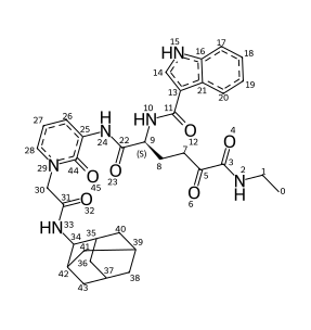 CCNC(=O)C(=O)CC[C@H](NC(=O)c1c[nH]c2ccccc12)C(=O)Nc1cccn(CC(=O)NC2C3CC4CC(C3)CC2C4)c1=O